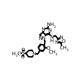 COc1cc(CN2CCC(S(C)(=O)=O)CC2)ccc1Cn1ncc2nc(N)nc(NCc3noc(C)n3)c21